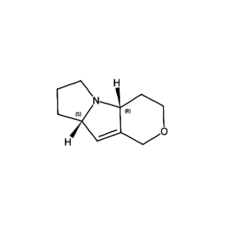 C1=C2COCC[C@H]2N2CCC[C@@H]12